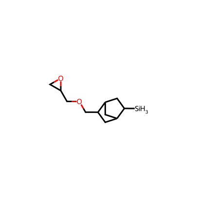 [SiH3]C1CC2CC1CC2COCC1CO1